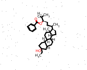 CC[C@]1(O)CC[C@H]2[C@@H](CC[C@@H]3[C@@H]2CC[C@]2(C)[C@@H]([C@H](C)CC[C@@H](OC(=O)c4ccccc4)C(C)C)CC[C@@H]32)C1